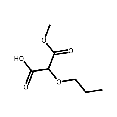 CCCOC(C(=O)O)C(=O)OC